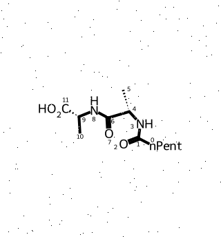 CCCCCC(=O)N[C@@H](C)C(=O)N[C@H](C)C(=O)O